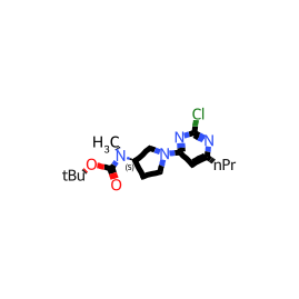 CCCc1cc(N2CC[C@H](N(C)C(=O)OC(C)(C)C)C2)nc(Cl)n1